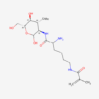 C=C(C)C(=O)NCCCCC(N)C(=O)N[C@H]1C(O)O[C@H](CO)[C@@H](O)[C@@H]1OC